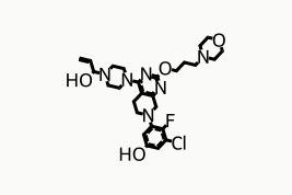 C=CC(O)N1CCN(c2nc(OCCCN3CCOCC3)nc3c2CCN(c2cc(O)cc(Cl)c2F)C3)CC1